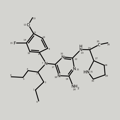 CCCC(CCC)N(c1ccc(OC)c(F)c1)c1nc(N)nc(NC(CC)C2CCCN2)n1